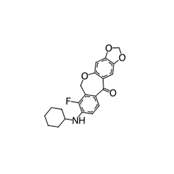 O=C1c2cc3c(cc2OCc2c1ccc(NC1CCCCC1)c2F)OCO3